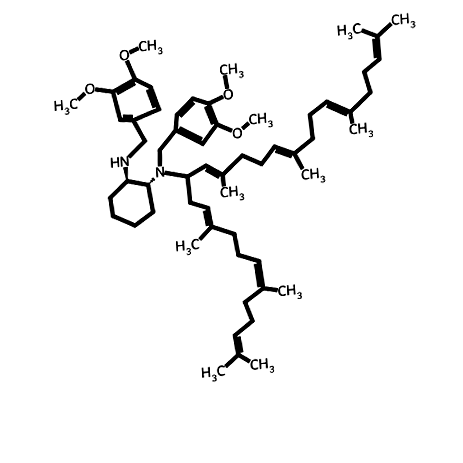 COc1ccc(CN[C@@H]2CCCC[C@H]2N(Cc2ccc(OC)c(OC)c2)C(/C=C(\C)CC/C=C(\C)CC/C=C(\C)CCC=C(C)C)CC=C(C)CCC=C(C)CCC=C(C)C)cc1OC